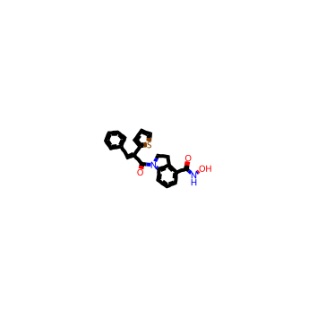 O=C(NO)c1cccc2c1CCN2C(=O)C(=Cc1ccccc1)c1cccs1